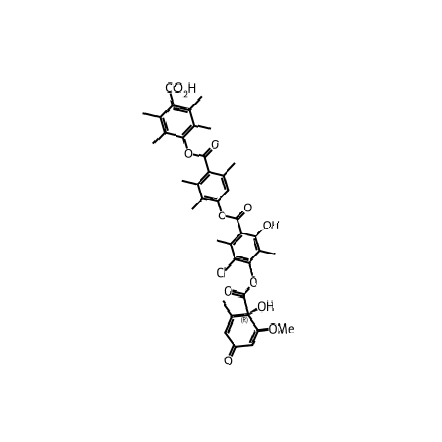 COC1=CC(=O)C=C(C)[C@]1(O)C(=O)Oc1c(C)c(O)c(C(=O)Oc2cc(C)c(C(=O)Oc3c(C)c(C)c(C(=O)O)c(C)c3C)c(C)c2C)c(C)c1Cl